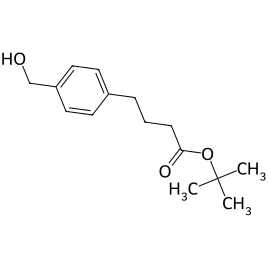 CC(C)(C)OC(=O)CCCc1ccc(CO)cc1